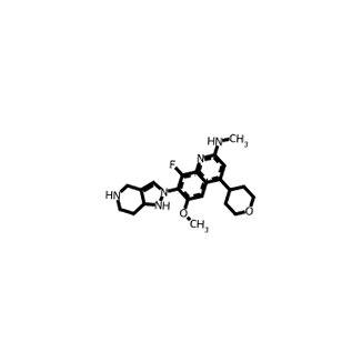 CNc1cc(C2CCOCC2)c2cc(OC)c(N3C=C4CNCCC4N3)c(F)c2n1